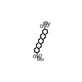 CC(C)(C)S(=O)(=O)c1ccc2cc3cc4cc5cc(S(=O)(=O)C(C)(C)C)ccc5cc4cc3cc2c1